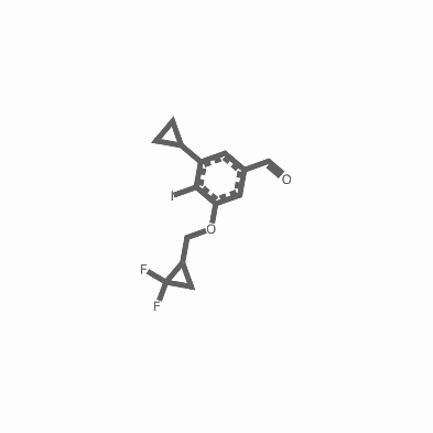 O=Cc1cc(OCC2CC2(F)F)c(I)c(C2CC2)c1